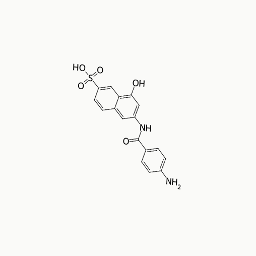 Nc1ccc(C(=O)Nc2cc(O)c3cc(S(=O)(=O)O)ccc3c2)cc1